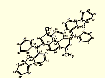 Cc1cc(N(c2ccccc2)c2cccc3c2oc2ccccc23)c2ccc3c(C)cc(N(c4ccccc4)c4cccc5c4oc4ccccc45)c4ccc1c2c34